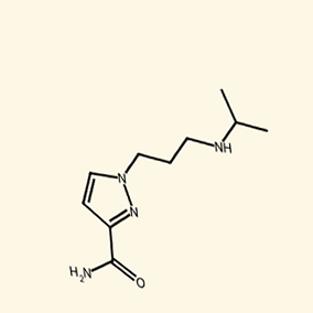 CC(C)NCCCn1ccc(C(N)=O)n1